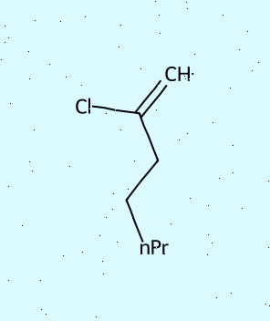 [CH]=C(Cl)CCCCC